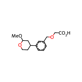 COC1CC(c2cccc(COCC(=O)O)c2)CCO1